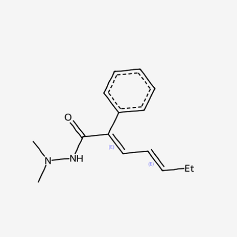 CC/C=C/C=C(/C(=O)NN(C)C)c1ccccc1